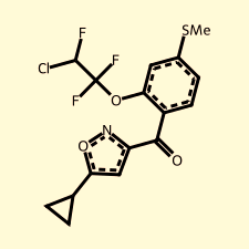 CSc1ccc(C(=O)c2cc(C3CC3)on2)c(OC(F)(F)C(F)Cl)c1